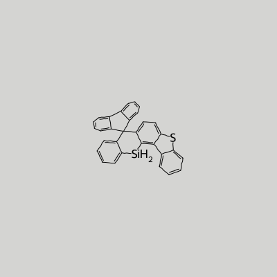 c1ccc2c(c1)[SiH2]c1c(ccc3sc4ccccc4c13)C21c2ccccc2-c2ccccc21